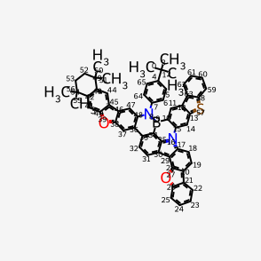 CC(C)(C)c1ccc(N2B3c4cc5c(cc4-n4c6ccc7c8ccccc8oc7c6c6ccc(c3c64)-c3cc4oc6cc7c(cc6c4cc32)C(C)(C)CCC7(C)C)sc2ccccc25)cc1